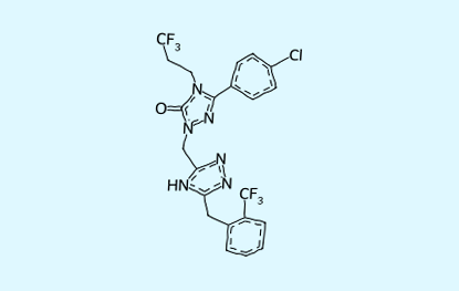 O=c1n(Cc2nnc(Cc3ccccc3C(F)(F)F)[nH]2)nc(-c2ccc(Cl)cc2)n1CCC(F)(F)F